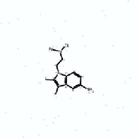 CCN(CC)CCn1c(C)c(C)c2cc(N)ccc21